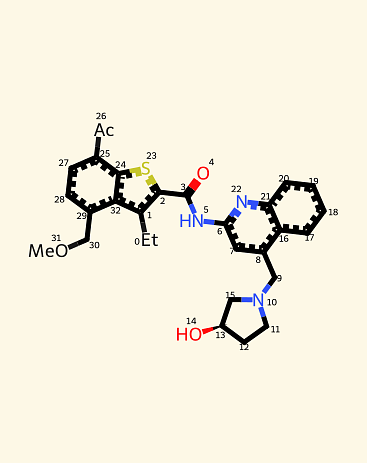 CCc1c(C(=O)Nc2cc(CN3CC[C@@H](O)C3)c3ccccc3n2)sc2c(C(C)=O)ccc(COC)c12